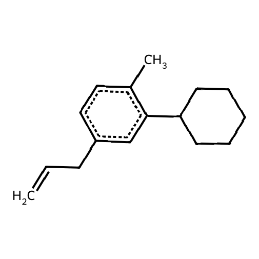 C=CCc1ccc(C)c(C2CCCCC2)c1